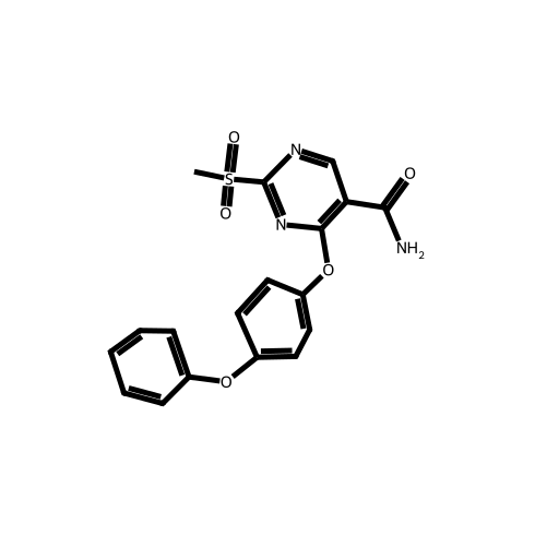 CS(=O)(=O)c1ncc(C(N)=O)c(Oc2ccc(Oc3ccccc3)cc2)n1